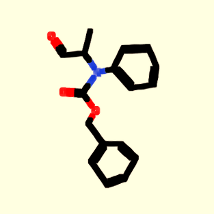 CC(C=O)N(C(=O)OCc1ccccc1)c1ccccc1